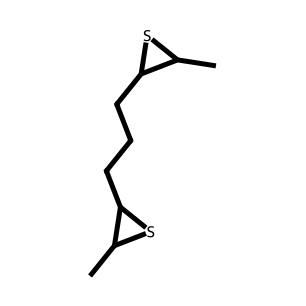 CC1SC1CCCC1SC1C